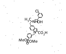 COP(=O)(OC)c1cccc(Cn2c(C(=O)O)cc3cc(CC(C)NCC(O)c4cccc(Cl)c4)ccc32)c1